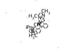 Cc1cc(C)nc(Sc2nnc(-c3ccc(C)c4c3C(C)N(C(C)C)S4(=O)=O)c3ccccc23)n1